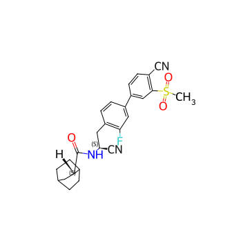 CS(=O)(=O)c1cc(-c2ccc(C[C@@H](C#N)NC(=O)[C@H]3CC4CCC3CC4)c(F)c2)ccc1C#N